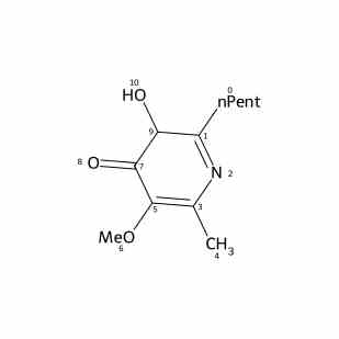 CCCCCC1=NC(C)=C(OC)C(=O)C1O